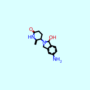 C=C1NC(=O)CCC1N1Cc2cc(N)ccc2C1O